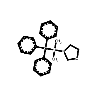 C[Si](C)(N1CCOC1)[Si](c1ccccc1)(c1ccccc1)c1ccccc1